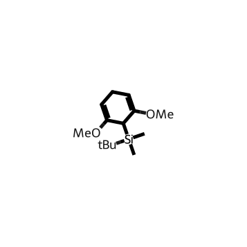 COC1=CCC=C(OC)C1[Si](C)(C)C(C)(C)C